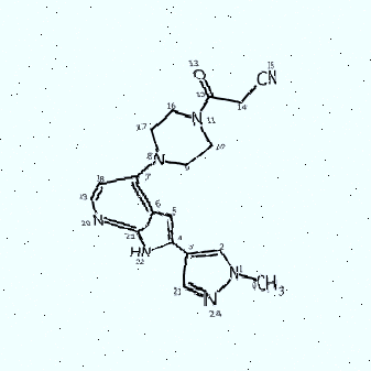 Cn1cc(-c2cc3c(N4CCN(C(=O)CC#N)CC4)ccnc3[nH]2)cn1